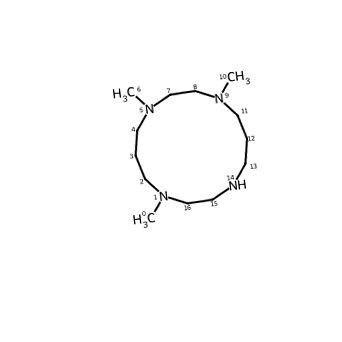 CN1CCCN(C)CCN(C)CCCNCC1